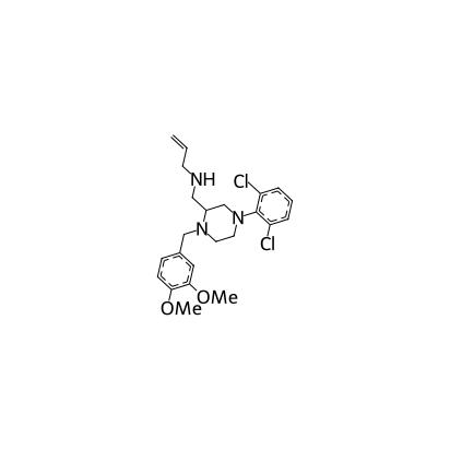 C=CCNCC1CN(c2c(Cl)cccc2Cl)CCN1Cc1ccc(OC)c(OC)c1